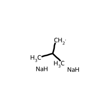 [CH2]C(C)C.[NaH].[NaH]